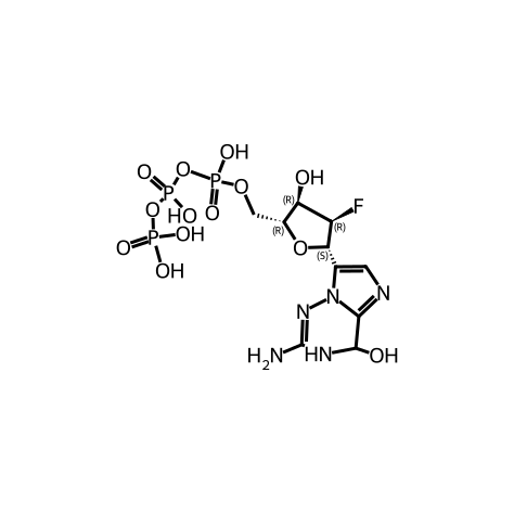 NC1=Nn2c([C@@H]3O[C@H](COP(=O)(O)OP(=O)(O)OP(=O)(O)O)[C@@H](O)[C@H]3F)cnc2C(O)N1